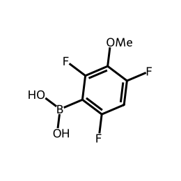 COc1c(F)cc(F)c(B(O)O)c1F